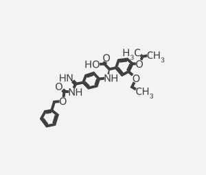 CCOc1cc([C@@H](Nc2ccc(C(=N)NC(=O)OCc3ccccc3)cc2)C(=O)O)ccc1OC(C)C